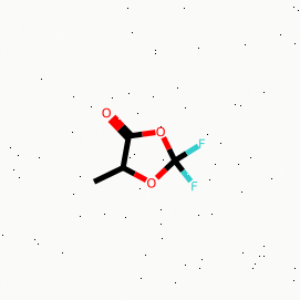 CC1OC(F)(F)OC1=O